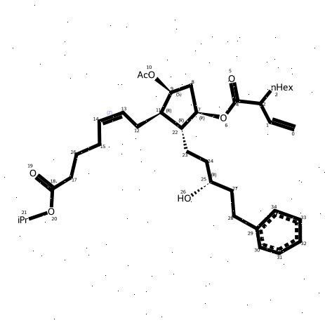 C=CC(CCCCCC)C(=O)O[C@@H]1C[C@H](OC(C)=O)[C@H](C/C=C\CCCC(=O)OC(C)C)[C@H]1CC[C@@H](O)CCc1ccccc1